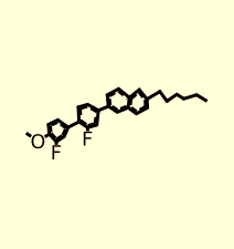 CCCCCCc1ccc2cc(-c3ccc(-c4ccc(OC)c(F)c4)c(F)c3)ccc2c1